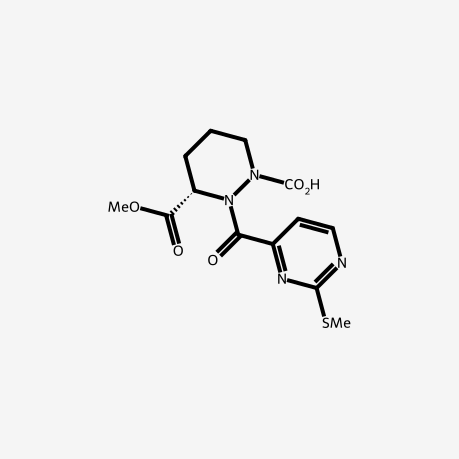 COC(=O)[C@@H]1CCCN(C(=O)O)N1C(=O)c1ccnc(SC)n1